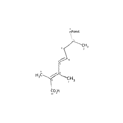 CCCCC[C@H](C)C/C=C/C(C)=C(\C)C(=O)O